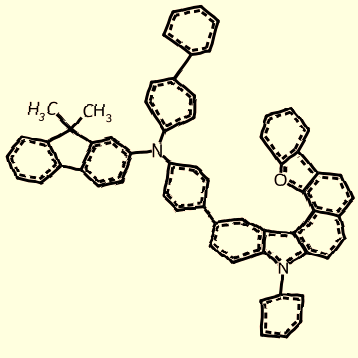 CC1(C)c2ccccc2-c2ccc(N(c3ccc(-c4ccccc4)cc3)c3ccc(-c4ccc5c(c4)c4c6c(ccc7c8ccccc8oc76)ccc4n5-c4ccccc4)cc3)cc21